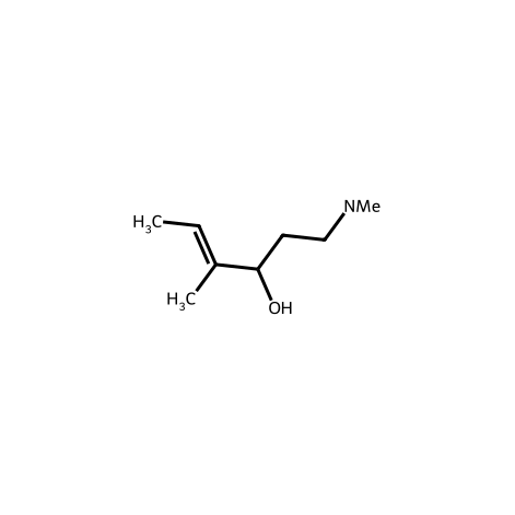 CC=C(C)C(O)CCNC